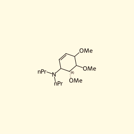 CCCN(CCC)C1C=CC(OC)C(OC)[C@@H]1OC